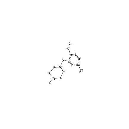 [CH2-][CH+]c1ccc(Cl)cc1CN1CCN(C)CC1